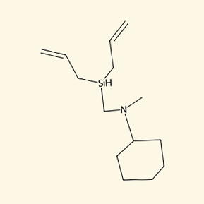 C=CC[SiH](CC=C)CN(C)C1CCCCC1